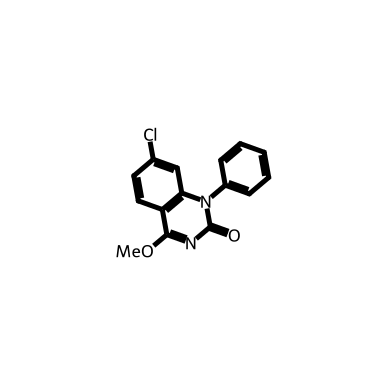 COc1nc(=O)n(-c2ccccc2)c2cc(Cl)ccc12